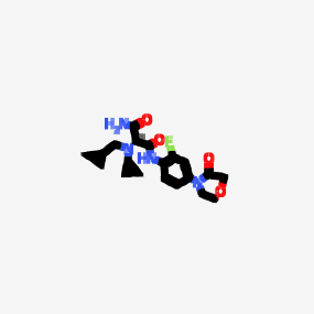 NC(=O)[C@H](C(=O)Nc1ccc(N2CCOCC2=O)cc1F)N(CC1CC1)C1CC1